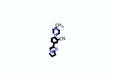 CN1CCN(c2ccc(-c3cn4c(n3)CCC4)cc2C#N)CC1